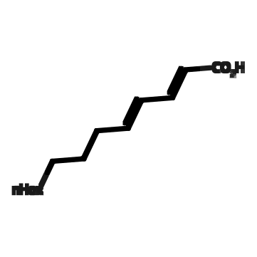 CCCCCCCCCC=CC=CC(=O)O